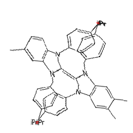 Cc1ccc2c(c1)N(c1ccc(C(C)C)cc1)C(=C1N(c3ccc(C(C)C)cc3)c3cc(C)c(C)cc3N1c1ccc(C(C)C)cc1)N2c1ccc(C(C)C)cc1